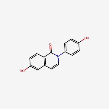 O=c1c2ccc(O)cc2ccn1-c1ccc(O)cc1